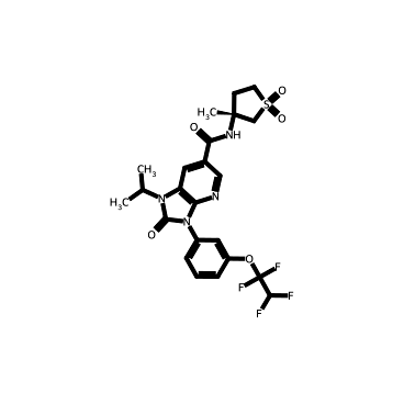 CC(C)n1c(=O)n(-c2cccc(OC(F)(F)C(F)F)c2)c2ncc(C(=O)N[C@]3(C)CCS(=O)(=O)C3)cc21